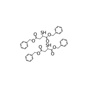 O=C(CC(S)C(=O)OCc1ccccc1)OCc1ccccc1.O=C(CC(S)C(=O)OCc1ccccc1)OCc1ccccc1